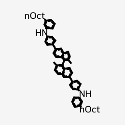 CCCCCCCCc1cccc(Nc2ccc(-c3ccc4c(-c5c(C)ccc6cc(-c7ccc(Nc8cccc(CCCCCCCC)c8)cc7)ccc56)c(C)ccc4c3)cc2)c1